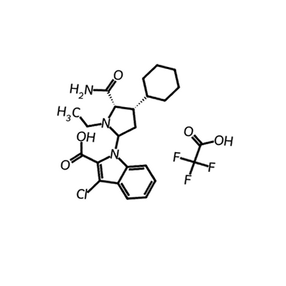 CCN1C(n2c(C(=O)O)c(Cl)c3ccccc32)C[C@@H](C2CCCCC2)[C@H]1C(N)=O.O=C(O)C(F)(F)F